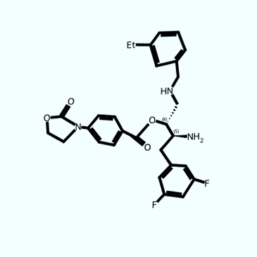 CCc1cccc(CNC[C@@H](OC(=O)c2ccc(N3CCOC3=O)cc2)[C@@H](N)Cc2cc(F)cc(F)c2)c1